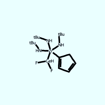 CC(C)(C)[NH][Zr]([NH]C(C)(C)C)([NH]C(C)(C)C)([C]1=CC=CC1)[GeH]([F])[F]